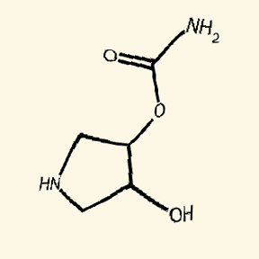 NC(=O)OC1CNCC1O